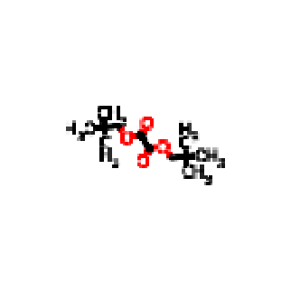 CC(C)(C)COC(=O)C(=O)OCC(C)(C)C